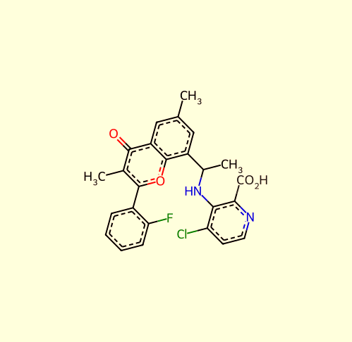 Cc1cc(C(C)Nc2c(Cl)ccnc2C(=O)O)c2oc(-c3ccccc3F)c(C)c(=O)c2c1